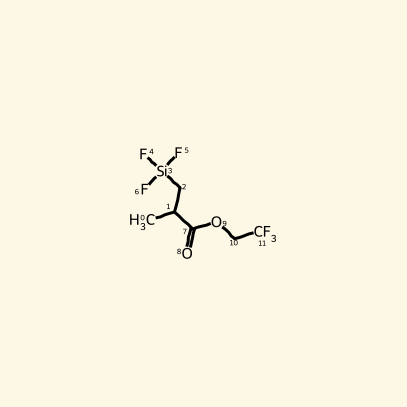 CC(C[Si](F)(F)F)C(=O)OCC(F)(F)F